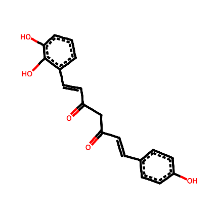 O=C(C=Cc1ccc(O)cc1)CC(=O)C=Cc1cccc(O)c1O